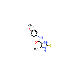 COc1ccc(NC(=O)C2NC(=S)NC2C)cc1